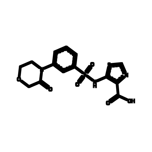 O=C(O)c1ncsc1NS(=O)(=O)c1cccc(N2CCOCC2=O)c1